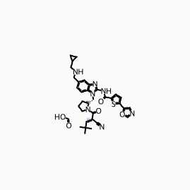 CC(C)(C)/C=C(\C#N)C(=O)N1CCC[C@@H]1Cn1c(NC(=O)c2ccc(-c3cnco3)s2)nc2cc(CNCC3CC3)ccc21.O=CO